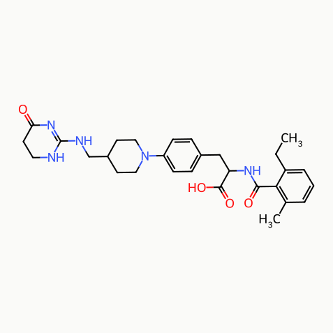 CCc1cccc(C)c1C(=O)NC(Cc1ccc(N2CCC(CNC3=NC(=O)CCN3)CC2)cc1)C(=O)O